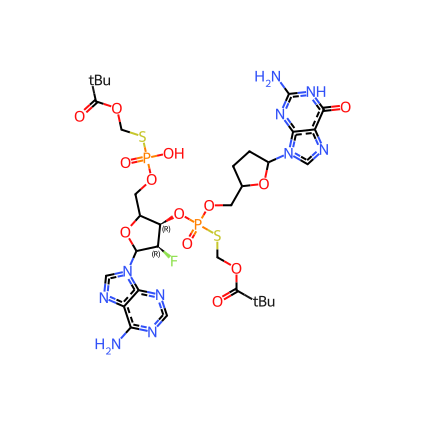 CC(C)(C)C(=O)OCSP(=O)(O)OCC1OC(n2cnc3c(N)ncnc32)[C@H](F)[C@@H]1OP(=O)(OCC1CCC(n2cnc3c(=O)[nH]c(N)nc32)O1)SCOC(=O)C(C)(C)C